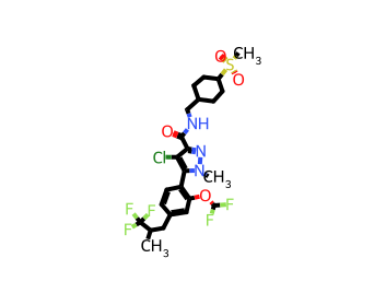 CC(Cc1ccc(-c2c(Cl)c(C(=O)NCC3CCC(S(C)(=O)=O)CC3)nn2C)c(OC(F)F)c1)C(F)(F)F